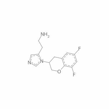 NCCc1cncn1C1COc2c(F)cc(F)cc2C1